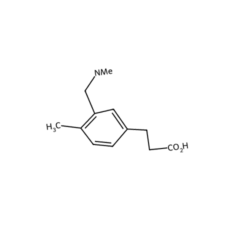 CNCc1cc(CCC(=O)O)ccc1C